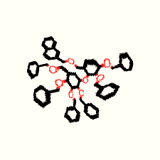 C1=CC(OCc2ccccc2)C(OCc2ccccc2)C(OC2CC(COCc3ccccc3)C(OCc3ccccc3)C(OCc3ccccc3)C2OCc2ccccc2)C1COCc1ccc2ccccc2c1